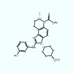 COC(=O)N1c2ccc3c(nc(Nc4cccc(C#N)c4)n3[C@H]3CC[C@H](C(=O)O)CC3)c2CC[C@@H]1C